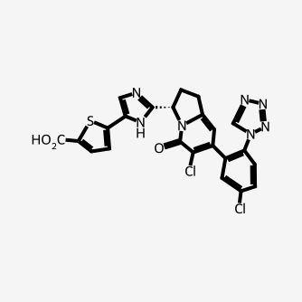 O=C(O)c1ccc(-c2cnc([C@@H]3CCc4cc(-c5cc(Cl)ccc5-n5cnnn5)c(Cl)c(=O)n43)[nH]2)s1